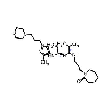 C=N/C(=N\C(NCCCN1CCCCCC1=O)=C(/C)C(F)(F)F)Nc1cn(CCCN2CCOCC2)nc1C